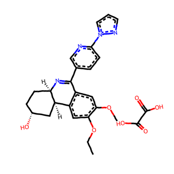 CCOc1cc2c(cc1OC)C(c1ccc(-n3cccn3)nc1)=N[C@@H]1CC[C@@H](O)C[C@H]21.O=C(O)C(=O)O